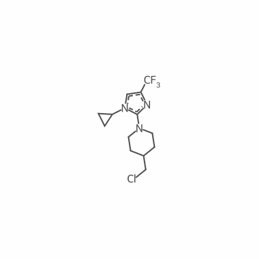 FC(F)(F)c1cn(C2CC2)c(N2CCC(CCl)CC2)n1